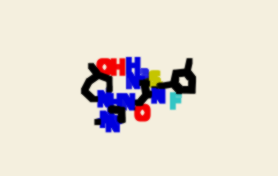 Cc1ccc(F)c(-c2nc(C(=O)Nc3cnn(C)c3N3CCCC(C)(O)CC3)c(N)s2)c1